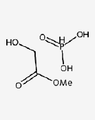 COC(=O)CO.O=[PH](O)O